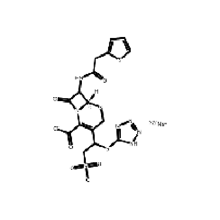 O=C(Cc1cccs1)NC1C(=O)N2C(C(=O)[O-])=C(C(CS(=O)(=O)[O-])Sc3nnn[nH]3)CS[C@@H]12.[Na+].[Na+]